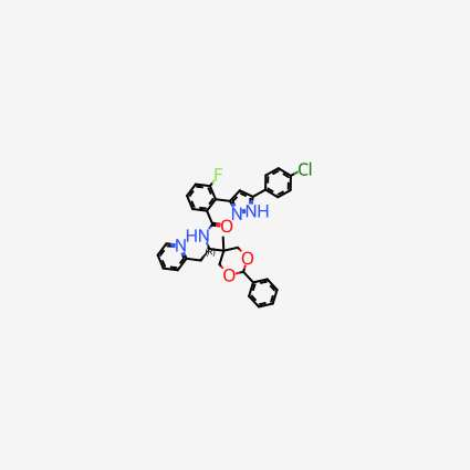 CC1([C@@H](Cc2ccccn2)NC(=O)c2cccc(F)c2-c2cc(-c3ccc(Cl)cc3)[nH]n2)COC(c2ccccc2)OC1